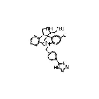 CC(C)(C)C[C@@H]1NC[C@H](c2ccccc2Cl)[C@]12CN(Cc1ccc(-c3nnn[nH]3)cc1)c1ccc(Cl)cc12